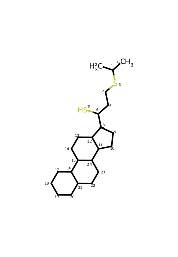 CC(C)SCCC(S)C1CCC2C1CCC1C3CCCCC3CCC12